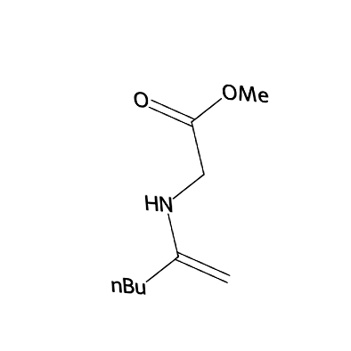 C=C(CCCC)NCC(=O)OC